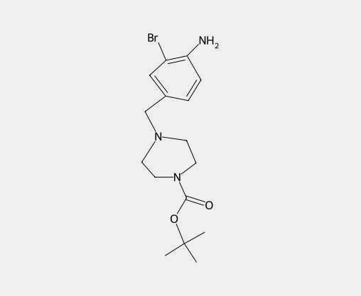 CC(C)(C)OC(=O)N1CCN(Cc2ccc(N)c(Br)c2)CC1